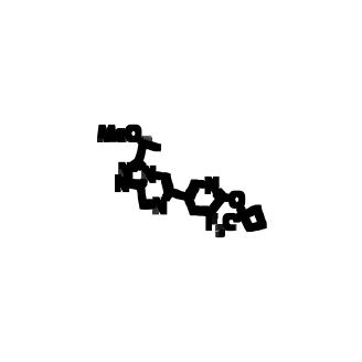 CO[C@H](C)c1nnc2cnc(-c3ccc(OC4(C(F)(F)F)CCC4)nc3)cn12